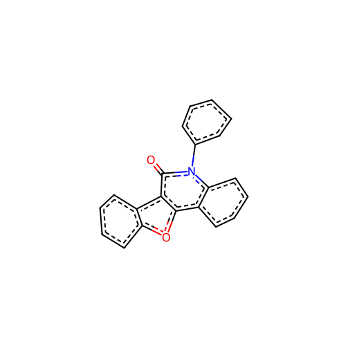 O=c1c2c3ccccc3oc2c2ccccc2n1-c1ccccc1